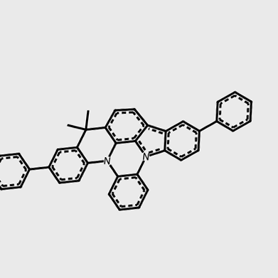 CC1(C)c2cc(-c3ccccc3)ccc2N2c3ccccc3-n3c4ccc(-c5ccccc5)cc4c4ccc1c2c43